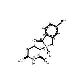 O=C1CCC([N+]2([O-])Cc3cc(F)ccc3C2=O)C(=O)N1